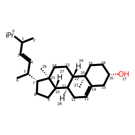 CC(C)C(C)/C=C/C(C)[C@H]1CC[C@H]2[C@@H]3CC=C4C[C@@H](O)CC[C@]4(C)[C@H]3CC[C@]12C